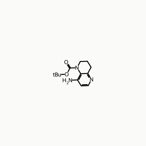 CC(C)(C)OC(=O)N1CCCc2nccc(N)c21